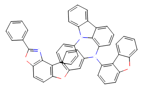 c1ccc(-c2nc3c(ccc4oc5cc(N(c6cccc7oc8ccccc8c67)c6cccc7c8ccccc8n(-c8ccccc8)c67)ccc5c43)o2)cc1